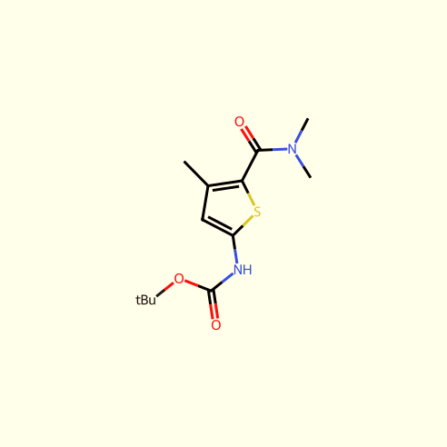 Cc1cc(NC(=O)OC(C)(C)C)sc1C(=O)N(C)C